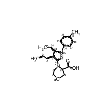 C=C/C=c1/c(N2CCOCC2C(=O)O)nn(-c2ccc(C)cc2)/c1=C/C